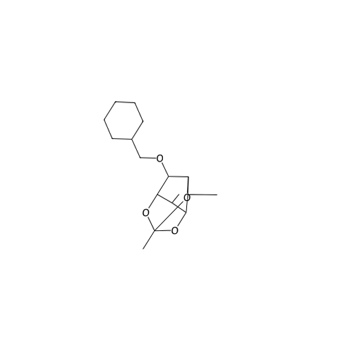 CC1C2OC3(C)OC1C(OCC1CCCCC1)C(O3)C2C